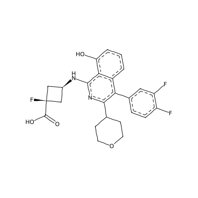 O=C(O)[C@]1(F)C[C@@H](Nc2nc(C3CCOCC3)c(-c3ccc(F)c(F)c3)c3cccc(O)c23)C1